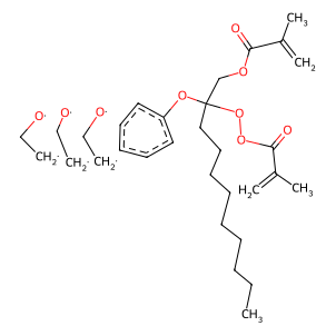 C=C(C)C(=O)OCC(CCCCCCCCC)(OOC(=O)C(=C)C)Oc1ccccc1.[CH2]C[O].[CH2]C[O].[CH2]C[O]